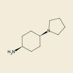 N[C@H]1CC[C@@H](N2CCCC2)CC1